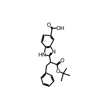 CC(C)(C)OC(=O)C(Cc1ccccc1)c1nc2cc(C(=O)O)ccc2[nH]1